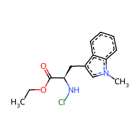 CCOC(=O)[C@@H](Cc1cn(C)c2ccccc12)NCl